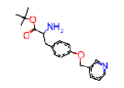 CC(C)(C)OC(=O)C(N)Cc1ccc(OCc2cccnc2)cc1